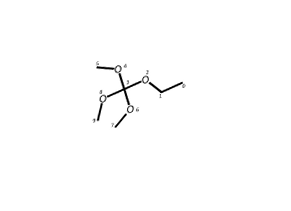 CCOC(OC)(OC)OC